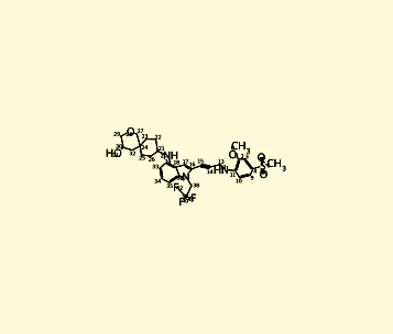 COc1cc(S(C)(=O)=O)ccc1NCC#Cc1cc2c(NC3CCC4(CC3)COCC(O)C4)cccc2n1CC(F)(F)F